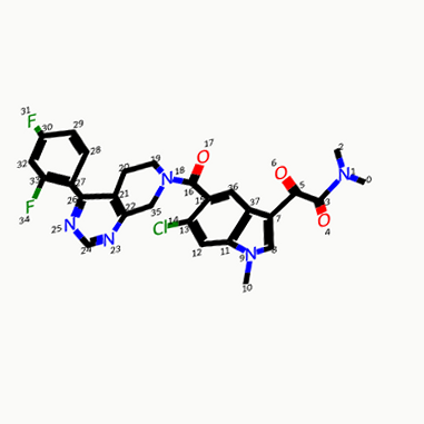 CN(C)C(=O)C(=O)c1cn(C)c2cc(Cl)c(C(=O)N3CCc4c(ncnc4-c4ccc(F)cc4F)C3)cc12